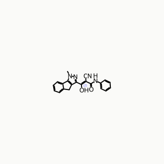 Cn1nc(/C(O)=C(\C#N)C(=O)Nc2ccccc2)c2c1-c1ccccc1C2